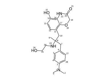 CN(C)c1ccc(CC(C)(Cc2ccc(O)c3c2OCC(=O)N3)NCCO)cc1